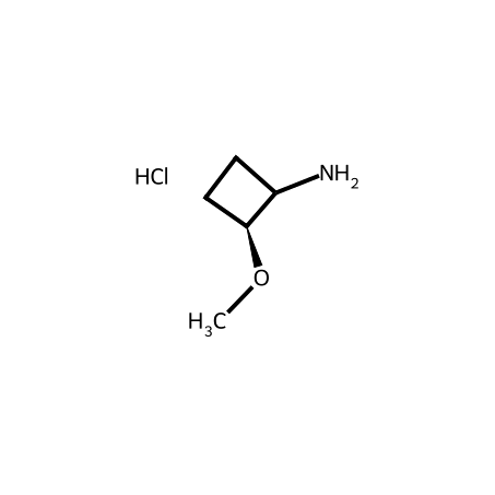 CO[C@H]1CCC1N.Cl